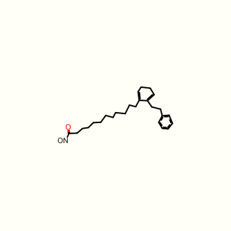 O=NC(=O)CCCCCCCCCCCC1=CCCC=C1CCc1ccccc1